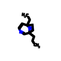 CCCC12C=NC=CC(CC)(CC1)N2